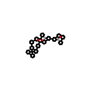 c1ccc(-c2cccc(-c3ccc(C4(c5cccc(-c6ccc(-c7ccc(-c8ccccc8-n8c9ccccc9c9cc(-c%10ccc%11c(c%10)c%10ccccc%10n%11-c%10ccccc%10-c%10ccccc%10)ccc98)cc7)cc6)c5)c5ccccc5-c5ccccc54)cc3)c2)cc1